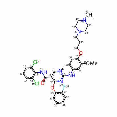 COc1cc(Nc2ncc(C(=O)Nc3c(Cl)cccc3Cl)c(Oc3ccccc3F)n2)ccc1OCCCN1CCN(C)CC1